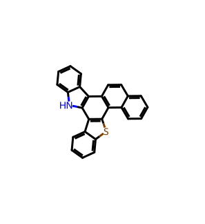 c1ccc2c(c1)ccc1c3c4ccccc4[nH]c3c3c4ccccc4sc3c21